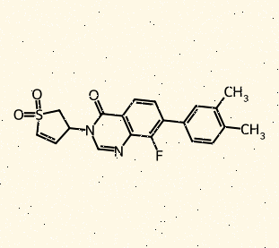 Cc1ccc(-c2ccc3c(=O)n(C4C=CS(=O)(=O)C4)cnc3c2F)cc1C